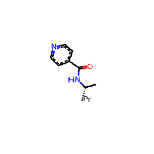 CC(C)[C@@H](C)NC(=O)c1ccncc1